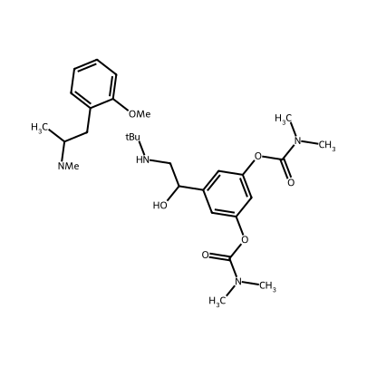 CN(C)C(=O)Oc1cc(OC(=O)N(C)C)cc(C(O)CNC(C)(C)C)c1.CNC(C)Cc1ccccc1OC